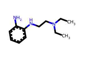 CCN(CC)CCNc1ccccc1N